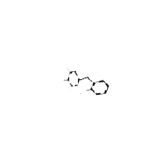 Cc1cc2c(c(C)c1C)[S+]([O-])c1ccccc1C2